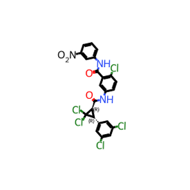 O=C(Nc1cccc([N+](=O)[O-])c1)c1cc(NC(=O)[C@H]2[C@H](c3cc(Cl)cc(Cl)c3)C2(Cl)Cl)ccc1Cl